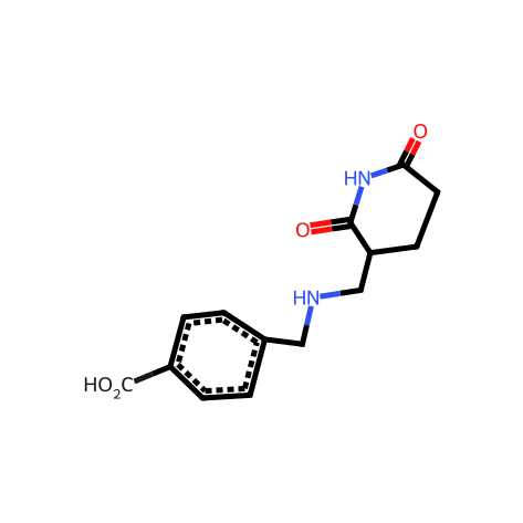 O=C1CCC(CNCc2ccc(C(=O)O)cc2)C(=O)N1